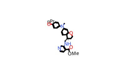 CCCOc1ccc(N(C)c2ccc3c(c2)OCC[C@H]3CNc2cnccc2C(=O)OC)cc1